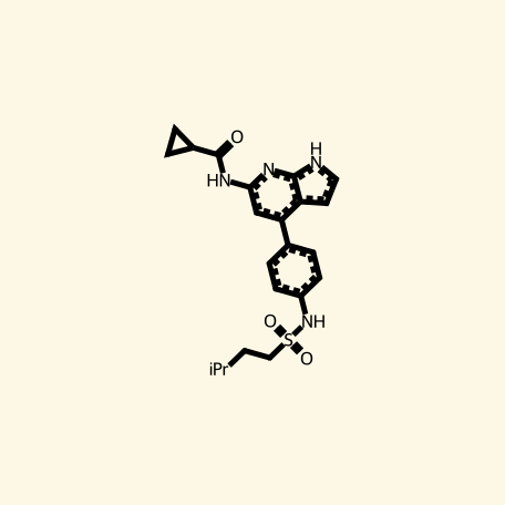 CC(C)CCS(=O)(=O)Nc1ccc(-c2cc(NC(=O)C3CC3)nc3[nH]ccc23)cc1